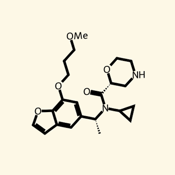 COCCCOc1cc([C@@H](C)N(C(=O)[C@H]2CNCCO2)C2CC2)cc2ccoc12